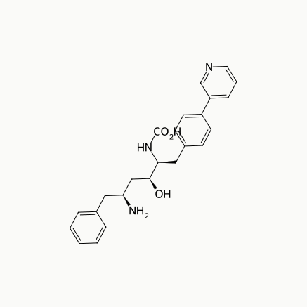 N[C@@H](Cc1ccccc1)C[C@H](O)[C@H](Cc1ccc(-c2cccnc2)cc1)NC(=O)O